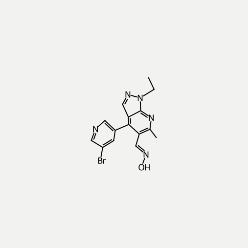 CCn1ncc2c(-c3cncc(Br)c3)c(C=NO)c(C)nc21